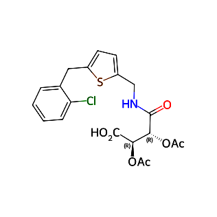 CC(=O)O[C@@H](C(=O)O)[C@@H](OC(C)=O)C(=O)NCc1ccc(Cc2ccccc2Cl)s1